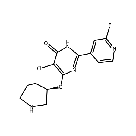 O=c1[nH]c(-c2ccnc(F)c2)nc(O[C@@H]2CCCNC2)c1Cl